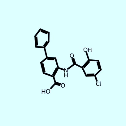 O=C(Nc1cc(-c2ccccc2)ccc1C(=O)O)c1cc(Cl)ccc1O